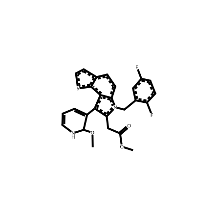 COC(=O)Cc1c(C2=CC=CNC2OC)c2c3sccc3ccc2n1Cc1cc(F)ccc1F